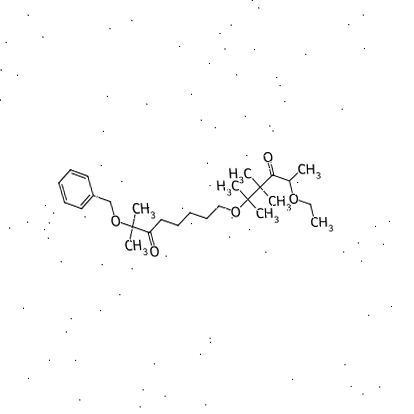 CCOC(C)C(=O)C(C)(C)C(C)(C)OCCCCCC(=O)C(C)(C)OCc1ccccc1